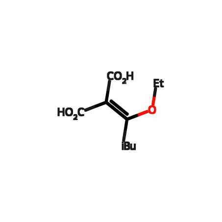 CCOC(=C(C(=O)O)C(=O)O)C(C)CC